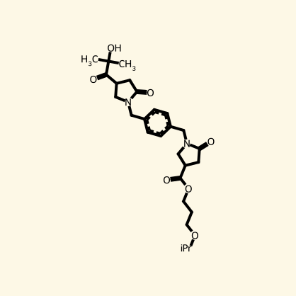 CC(C)OCCCOC(=O)C1CC(=O)N(Cc2ccc(CN3CC(C(=O)C(C)(C)O)CC3=O)cc2)C1